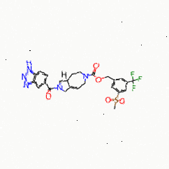 CS(=O)(=O)c1cc(COC(=O)N2CC=C3CN(C(=O)c4ccc5[nH]nnc5c4)C[C@H]3CC2)cc(C(F)(F)F)c1